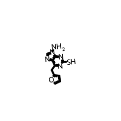 Nn1cnc2c(Cc3ccco3)nc(S)nc21